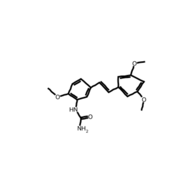 COc1cc(C=Cc2ccc(OC)c(NC(N)=O)c2)cc(OC)c1